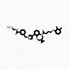 Cc1cccc(OCCCC(=O)N2CC3(CC3)COc3c(-c4cnn(Cc5cccc(C(=O)NCS(=O)(=O)O)c5)c4)cccc32)c1C